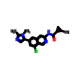 Cc1ncc(-c2cc(Cl)c3cnc(NC(=O)C4CC4C#N)cc3c2)n1C